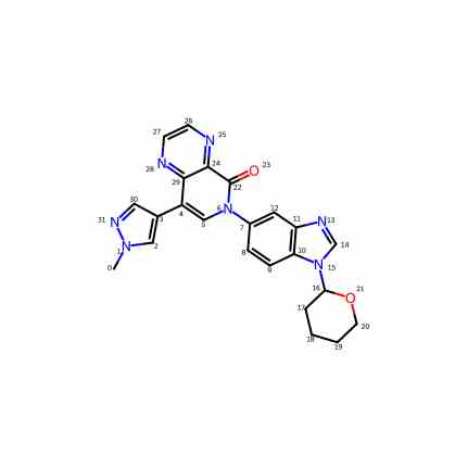 Cn1cc(-c2cn(-c3ccc4c(c3)ncn4C3CCCCO3)c(=O)c3nccnc23)cn1